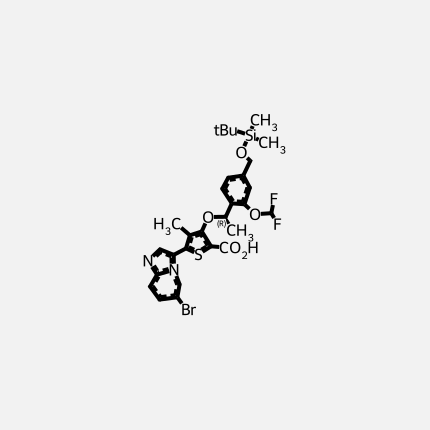 Cc1c(-c2cnc3ccc(Br)cn23)sc(C(=O)O)c1O[C@H](C)c1ccc(CO[Si](C)(C)C(C)(C)C)cc1OC(F)F